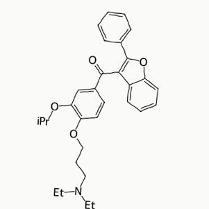 CCN(CC)CCCOc1ccc(C(=O)c2c(-c3ccccc3)oc3ccccc23)cc1OC(C)C